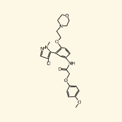 COc1ccc(OCC(=O)Nc2ccc(OCCN3CCOCC3)c(-c3c(Cl)cnn3C)c2)cc1